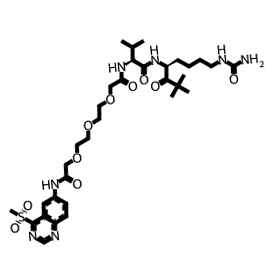 CC(C)[C@H](NC(=O)COCCOCCOCC(=O)Nc1ccc2ncnc(S(C)(=O)=O)c2c1)C(=O)N[C@@H](CCCCNC(N)=O)C(=O)C(C)(C)C